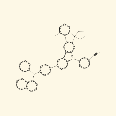 CCC1(CC)c2cc3c(cc2-c2c(C)cccc21)c1cc(-c2ccc(N(c4ccccc4)c4cccc5ccccc45)cc2)ccc1n3-c1cccc(C#N)c1